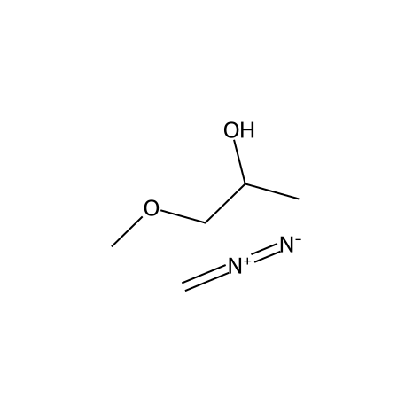 C=[N+]=[N-].COCC(C)O